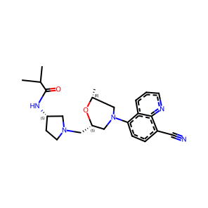 CC(C)C(=O)N[C@H]1CCN(C[C@H]2CN(c3ccc(C#N)c4ncccc34)C[C@@H](C)O2)C1